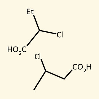 CC(Cl)CC(=O)O.CCC(Cl)C(=O)O